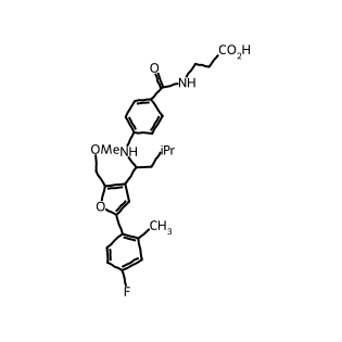 COCc1oc(-c2ccc(F)cc2C)cc1C(CC(C)C)Nc1ccc(C(=O)NCCC(=O)O)cc1